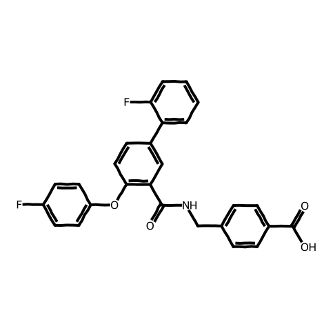 O=C(O)c1ccc(CNC(=O)c2cc(-c3ccccc3F)ccc2Oc2ccc(F)cc2)cc1